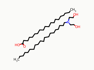 CCCCCCCCCCCCCCCCCCCC(=O)O.CCCCCCCCCCCCCCCCCCCCN(CCO)CCO